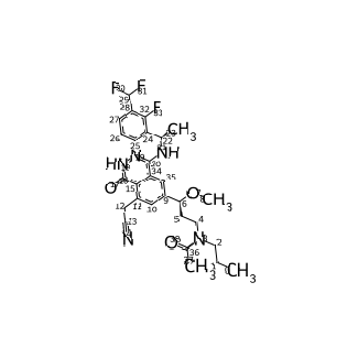 CCCN(CC[C@H](OC)c1cc(CC#N)c2c(=O)[nH]nc(N[C@H](C)c3cccc(C(F)F)c3F)c2c1)C(C)=O